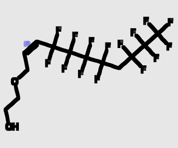 OCCOC/C=C\C(F)(F)C(F)(F)C(F)(F)C(F)(F)CC(F)(F)C(F)(F)C(F)(F)F